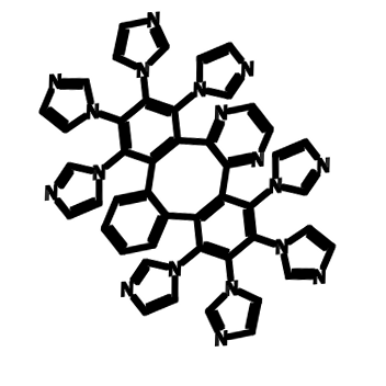 c1ccc2c(c1)-c1c(c(-n3ccnc3)c(-n3ccnc3)c(-n3ccnc3)c1-n1ccnc1)-c1nccnc1-c1c-2c(-n2ccnc2)c(-n2ccnc2)c(-n2ccnc2)c1-n1ccnc1